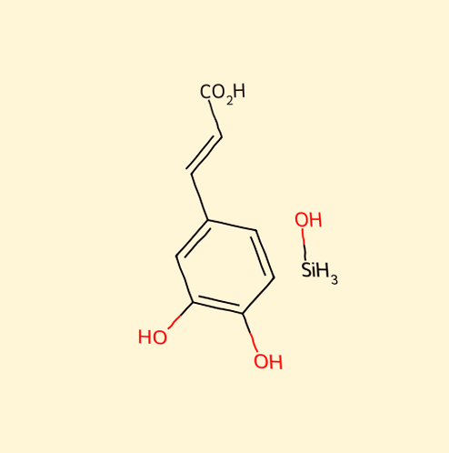 O=C(O)C=Cc1ccc(O)c(O)c1.O[SiH3]